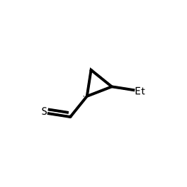 CCC1C[C]1C=S